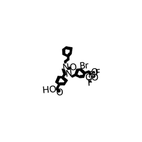 O=C(O)c1ccc(-c2cn(CCc3ccccc3)c(=O)n2Cc2ccc(CP(=O)(OF)OF)c(Br)c2)cc1